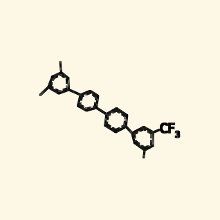 Cc1cc(C)cc(-c2ccc(-c3ccc(-c4cc(C)cc(C(F)(F)F)c4)cc3)cc2)c1